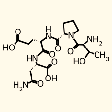 C[C@@H](O)[C@H](N)C(=O)N1CCC[C@H]1C(=O)N[C@@H](CCC(=O)O)C(=O)N[C@@H](CC(N)=O)C(=O)O